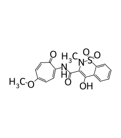 COc1ccc(NC(=O)C2=C(O)c3ccccc3S(=O)(=O)N2C)c(=O)cc1